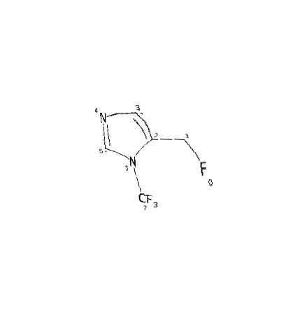 FCc1[c]n[c]n1C(F)(F)F